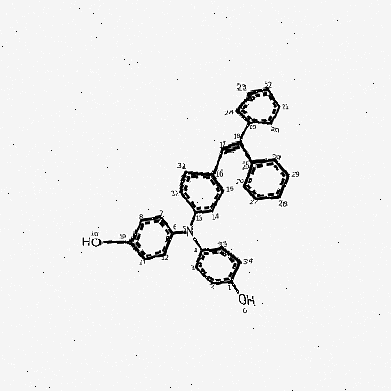 Oc1ccc(N(c2ccc(O)cc2)c2ccc(C=C(c3ccccc3)c3ccccc3)cc2)cc1